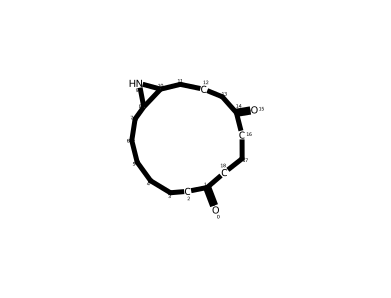 O=C1CCCCCCC2NC2CCCC(=O)CCC1